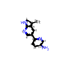 CCc1c[nH]c2ncc(-c3ccc(N)cn3)cc12